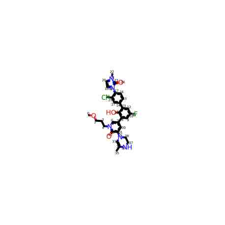 COCCCn1cc(-c2cc(F)cc(-c3ccc(-n4ccn(C)c4=O)c(Cl)c3)c2O)cc(N2C=C(C)NCC2)c1=O